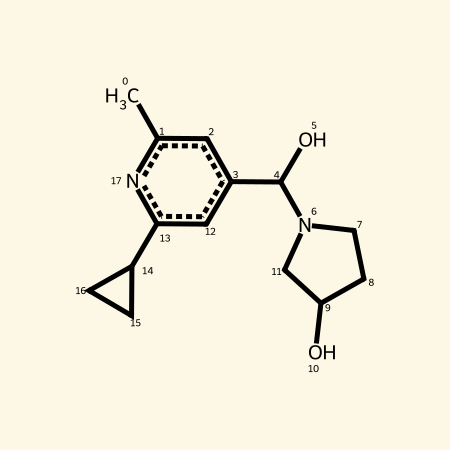 Cc1cc(C(O)N2CCC(O)C2)cc(C2CC2)n1